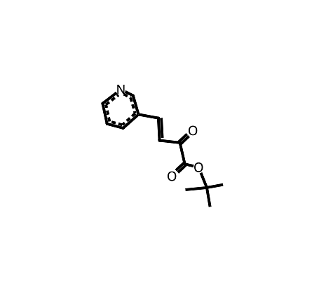 CC(C)(C)OC(=O)C(=O)C=Cc1cccnc1